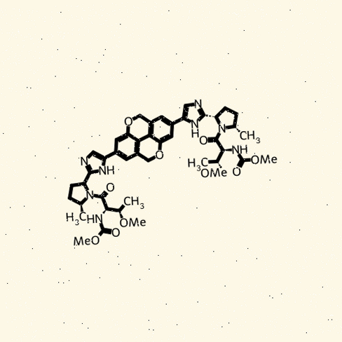 COC(=O)N[C@H](C(=O)N1C(c2ncc(-c3cc4c5c(c3)OCc3cc(-c6cnc([C@@H]7CC[C@H](C)N7C(=O)[C@@H](NC(=O)OC)[C@@H](C)OC)[nH]6)cc(c3-5)OC4)[nH]2)CC[C@@H]1C)[C@@H](C)OC